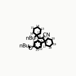 CCCCOc1ccc(C2(C(C#N)CC3(CCCC)CCCCC3)CCCCC2)cc1